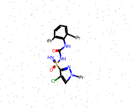 CC(C)c1cccc(C(C)C)c1NC(=O)NS(=N)(=O)c1nn(C(C)C)cc1Cl